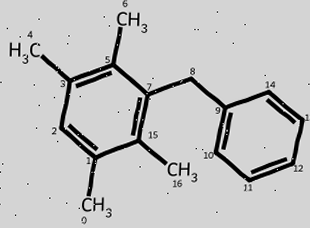 Cc1cc(C)c(C)c(Cc2ccccc2)c1C